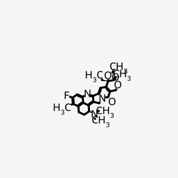 CC[C@@]1(OC(C)C)C(=O)OCc2c1cc1n(c2=O)Cc2c-1nc1cc(F)c(C)c3c1c2[C@@H](N(C)C)CC3